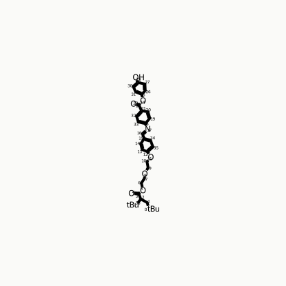 CC(C)(C)CC(C(=O)OCCOCCOc1ccc(/C=N/c2ccc(C(=O)Oc3ccc(O)cc3)cc2)cc1)C(C)(C)C